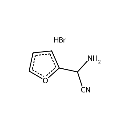 Br.N#CC(N)c1ccco1